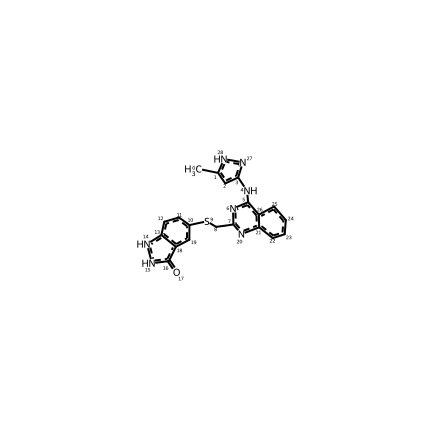 Cc1cc(Nc2nc(CSc3ccc4[nH][nH]c(=O)c4c3)nc3ccccc23)n[nH]1